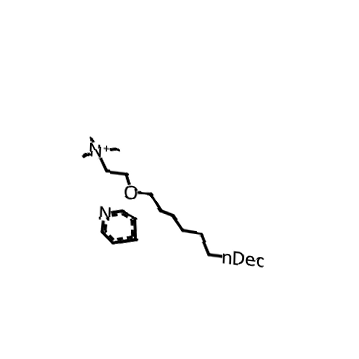 CCCCCCCCCCCCCCCCOCC[N+](C)(C)C.c1ccncc1